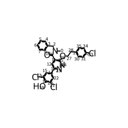 CN(Cc1ccccc1)C(=O)c1cc(-c2cc(Cl)c(O)c(Cl)c2)nnc1OCCc1ccc(Cl)cc1